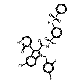 O=C(NS(=O)(=O)c1cccc(NS(=O)(=O)c2ccccc2)c1)c1c(-c2ccc[nH]c2=O)c2cc(Cl)ccc2n1Cc1ccc(F)cc1F